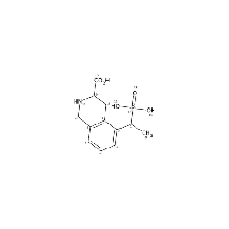 CC(c1cccc2c1CC(C(=O)O)NC2)P(=O)(O)O